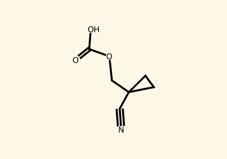 N#CC1(COC(=O)O)CC1